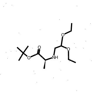 CCOC(CN[C@@H](C)C(=O)OC(C)(C)C)OCC